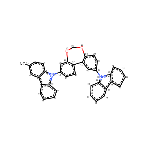 N#Cc1ccc2c(c1)c1ccccc1n2-c1ccc2c(c1)OCOc1ccc(-n3c4ccccc4c4ccccc43)cc1-2